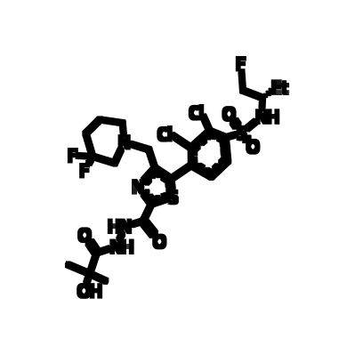 CC[C@@H](CF)NS(=O)(=O)c1ccc(-c2sc(C(=O)NNC(=O)C(C)(C)O)nc2CN2CCCC(F)(F)C2)c(Cl)c1Cl